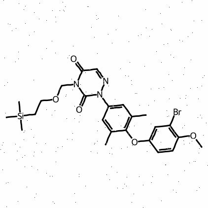 COc1ccc(Oc2c(C)cc(-n3ncc(=O)n(COCC[Si](C)(C)C)c3=O)cc2C)cc1Br